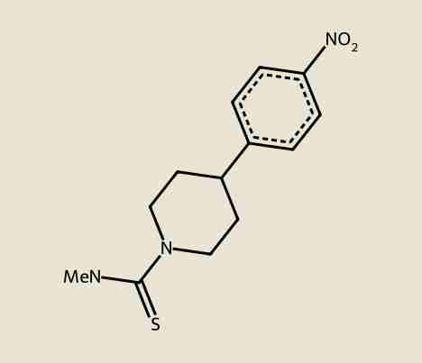 CNC(=S)N1CCC(c2ccc([N+](=O)[O-])cc2)CC1